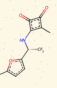 Cc1ccc([C@H](Nc2c(C)c(=O)c2=O)C(F)(F)F)o1